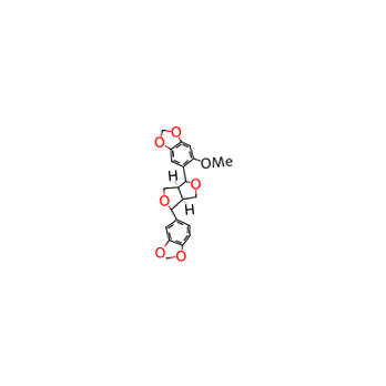 COc1cc2c(cc1C1OC[C@H]3C(c4ccc5c(c4)OCO5)OC[C@@H]13)OCO2